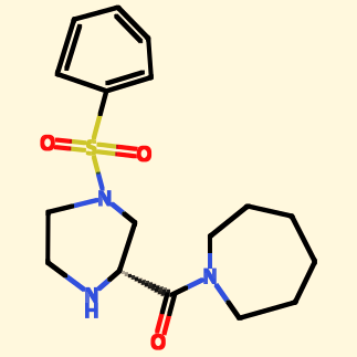 O=C([C@H]1CN(S(=O)(=O)c2ccccc2)CCN1)N1CCCCCC1